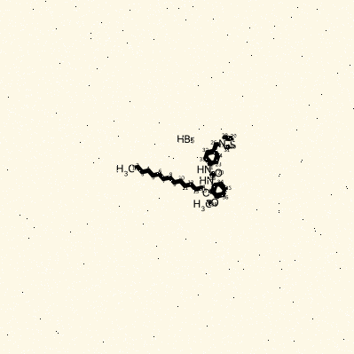 Br.CCCCCCCCCCCCCCOc1c(NC(=O)Nc2ccc(CN3C=CSC3)cc2)cccc1OC